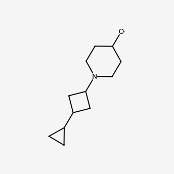 [O]C1CCN(C2CC(C3CC3)C2)CC1